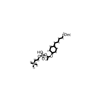 CCCCCCCCCCCCCCC1CCC(OC(C)OP(=O)(O)OCC[N+](C)(C)C)CC1